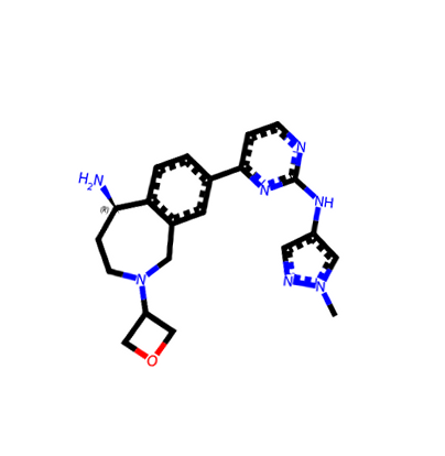 Cn1cc(Nc2nccc(-c3ccc4c(c3)CN(C3COC3)CC[C@H]4N)n2)cn1